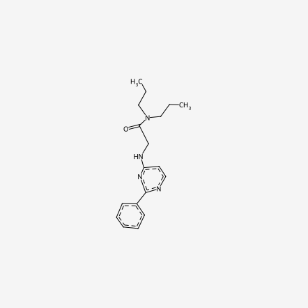 CCCN(CCC)C(=O)CNc1ccnc(-c2ccccc2)n1